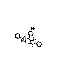 Cc1c(C(=C2C(=O)N(c3ccccc3)N(C)C2C)c2ccc(N(C)C)cc2)c(=O)n(-c2ccccc2)n1C